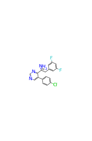 N[C@@H](Cc1cc(F)cc(F)c1)c1ncncc1-c1ccc(Cl)cc1